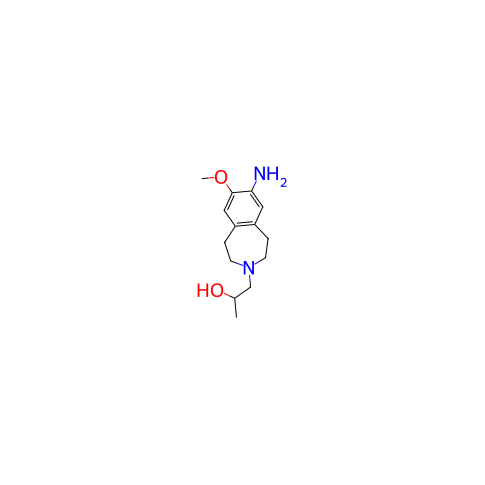 COc1cc2c(cc1N)CCN(CC(C)O)CC2